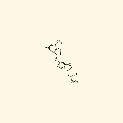 COC(=O)CC1COc2cc(O[C@@H]3CCc4c3cc(C)cc4C(F)(F)F)ccc21